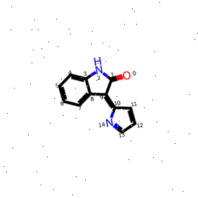 O=C1Nc2ccccc2C1=C1C=CC=N1